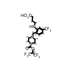 O=C(O)CCCNc1cc(C(F)(F)F)ccc1CN1CCN(C(=O)OC(C(F)(F)F)C(F)(F)F)CC1